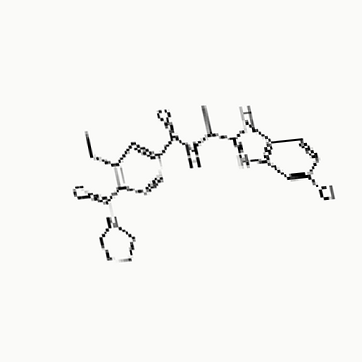 CCc1cc(C(=O)NC(C)c2nc3cc(Cl)ccc3[nH]2)ccc1C(=O)N1CCCC1